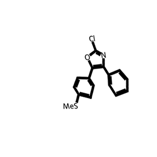 CSc1ccc(-c2oc(Cl)nc2-c2ccccc2)cc1